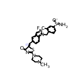 CN1CCN(C2=NC(=O)/C(=C/c3ccc4c(cnn4Cc4ccc([S+](N)[O-])cc4C(F)(F)F)c3)S2)CC1